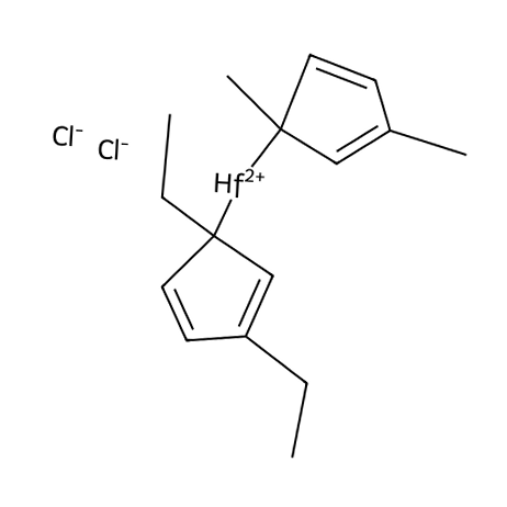 CCC1=C[C](CC)([Hf+2][C]2(C)C=CC(C)=C2)C=C1.[Cl-].[Cl-]